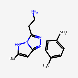 CC(C)(C)c1cc2nnc(CCN)n2[nH]1.Cc1ccc(S(=O)(=O)O)cc1